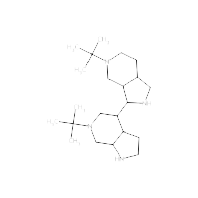 CC(C)(C)N1CCC2CNC(C3CN(C(C)(C)C)CC4NCCC43)C2C1